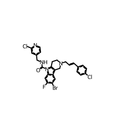 O=C(NCc1ccnc(Cl)c1)n1c2c(c3cc(Br)c(F)cc31)CN(C/C=C/c1ccc(Cl)cc1)CC2